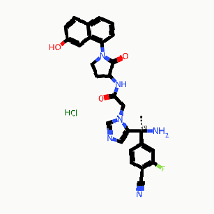 C[C@](N)(c1ccc(C#N)c(F)c1)c1cncn1CC(=O)NC1CCN(c2cccc3ccc(O)cc23)C1=O.Cl